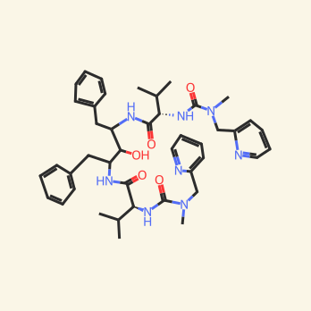 CC(C)[C@H](NC(=O)N(C)Cc1ccccn1)C(=O)NC(Cc1ccccc1)C(O)C(Cc1ccccc1)NC(=O)[C@@H](NC(=O)N(C)Cc1ccccn1)C(C)C